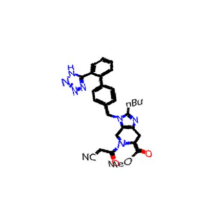 CCCCc1nc2c(n1Cc1ccc(-c3ccccc3-c3nnn[nH]3)cc1)CN(C(=O)CC#N)C(C(=O)OC)C2